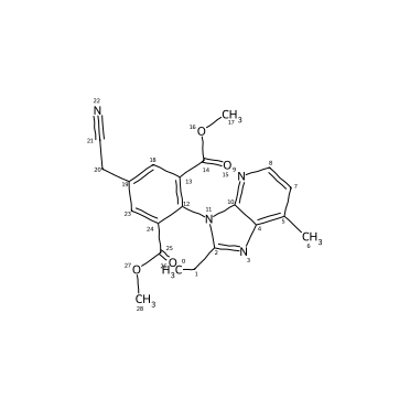 CCc1nc2c(C)ccnc2n1-c1c(C(=O)OC)cc(CC#N)cc1C(=O)OC